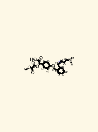 COC(=O)C(=O)OC(C(=O)O)c1ccc(OCc2ccccc2/C=C\CCN(C)C)c(I)c1